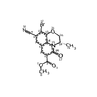 COC(=O)c1cc2cc(C#N)c(Br)c3c2n(c1=O)[C@@H](C)CO3